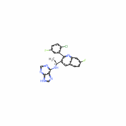 C[C@H](Nc1ncnc2[nH]cnc12)c1cc2ccc(F)cc2nc1-c1cc(F)ccc1Cl